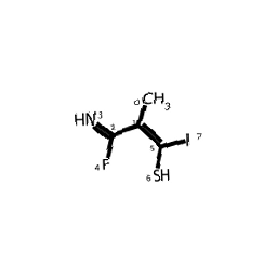 C/C(C(=N)F)=C(/S)I